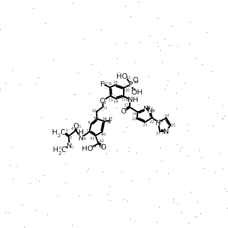 C=NC(=C)C(=O)Nc1cc(CCOc2cc(NC(=O)c3ccc(-n4ccnc4)nn3)c(P(=O)(O)O)cc2F)c(F)cc1C(=O)O